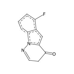 O=C1CC=Nn2c1cc1c(F)cccc12